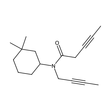 CC#CCC(=O)N(CC#CC)C1CCCC(C)(C)C1